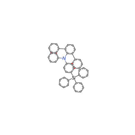 c1ccc(-c2cccc(-c3ccccc3)c2N(c2ccccc2)c2ccc([Si](c3ccccc3)(c3ccccc3)c3ccccc3)cc2)cc1